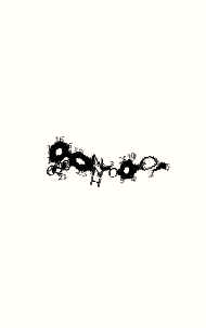 CCOc1ccc(OCc2nc3cc(-c4ccccc4S(C)(=O)=O)ccc3[nH]2)cc1